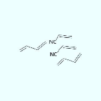 C=CC#N.C=CC#N.C=CC=C.C=CC=C